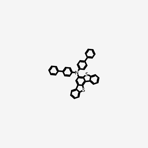 c1ccc(-c2ccc(N(c3ccc(-c4ccccc4)cc3)c3cc4c5ccccc5sc4c4c3sc3ccccc34)cc2)cc1